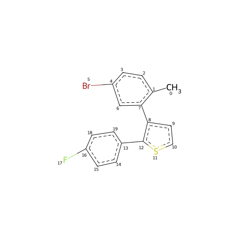 Cc1ccc(Br)cc1-c1ccsc1-c1ccc(F)cc1